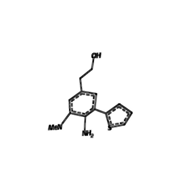 CNc1cc(CCO)cc(-c2cccs2)c1N